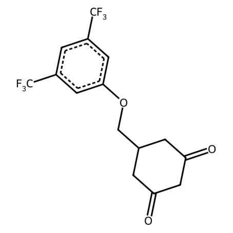 O=C1CC(=O)CC(COc2cc(C(F)(F)F)cc(C(F)(F)F)c2)C1